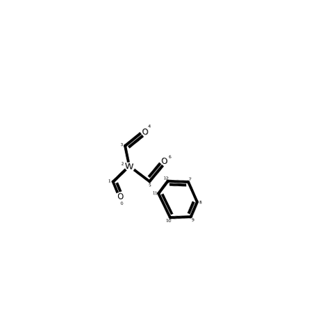 O=[CH][W]([CH]=O)[CH]=O.c1ccccc1